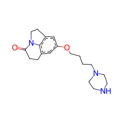 O=C1CCc2cc(OCCCCN3CCNCC3)cc3c2N1CC3